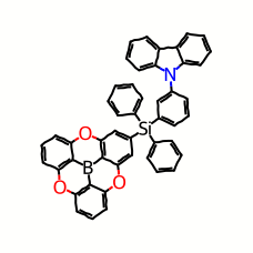 c1ccc([Si](c2ccccc2)(c2cccc(-n3c4ccccc4c4ccccc43)c2)c2cc3c4c(c2)Oc2cccc5c2B4c2c(cccc2O3)O5)cc1